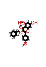 COc1ccc(-c2oc3cc(O)cc(O)c3c(=O)c2OCc2ccccc2)cc1